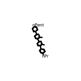 CCCCCc1ccc(-c2ccc(-c3ccc(-c4ccc(CCC)cc4)c(C)c3)c(C)c2)cc1